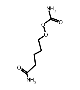 NC(=O)CCCCOOC(N)=O